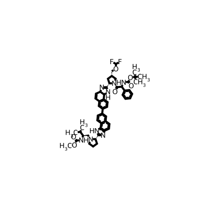 COC(=O)N[C@H](CN1CCC[C@H]1c1nc2ccc3cc(-c4ccc5c(c4)C=CC4N=C([C@@H]6C[C@H](COC(F)F)CN6C(=O)C(NC(=O)OC(C)(C)C)c6ccccc6)NC54)ccc3c2[nH]1)C(C)C